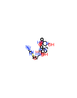 CCC[C@@H]1CN(CO)CCc2c([nH]c3ccccc23)[C@@](C(=O)OC)(c2cc3c(cc2OC)N(C)[C@H]2[C@@](O)(C(=O)NCCC[Si](C)(C)O[Si](C)(C)CSc4ncc(CN=[N+]=[N-])cn4)[C@H](O)[C@]4(CC)C=CCN5CC[C@]32[C@@H]54)C1